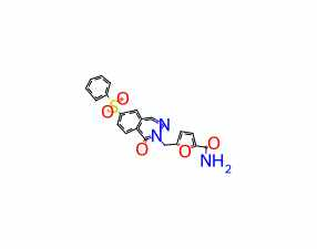 NC(=O)c1ccc(Cn2ncc3cc(S(=O)(=O)c4ccccc4)ccc3c2=O)o1